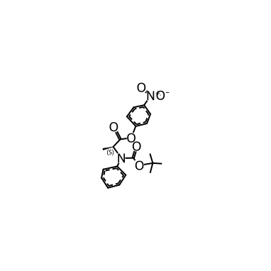 C[C@@H](C(=O)Oc1ccc([N+](=O)[O-])cc1)N(C(=O)OC(C)(C)C)c1ccccc1